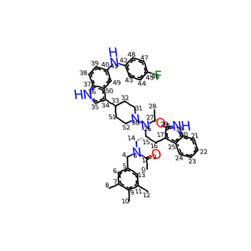 CC(=O)N(Cc1cc(C)c(C)c(C)c1)C[C@@H](Cc1c[nH]c2ccccc12)N(C(C)=O)N1CCC(c2c[nH]c3ccc(Nc4ccc(F)cc4)cc23)CC1